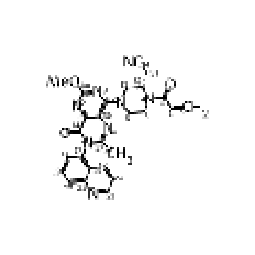 C=CC(=O)N1CCN(c2nc(OC)nc3c(=O)n(-c4cccc5ncccc45)c(C)nc23)C[C@@H]1CC#N